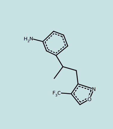 CC(Cc1nocc1C(F)(F)F)c1cccc(N)c1